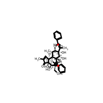 C=C(C)[C@@]1(O)[C@H](O)[C@@H]2[C@@H]3O[C@]3(COC(C)=O)[C@@H](O)[C@]3(O)C(=O)C(C)=C[C@H]3[C@@]2(OC(C)(C)c2ccccc2)[C@H](C)[C@H]1OC(=O)c1ccccc1